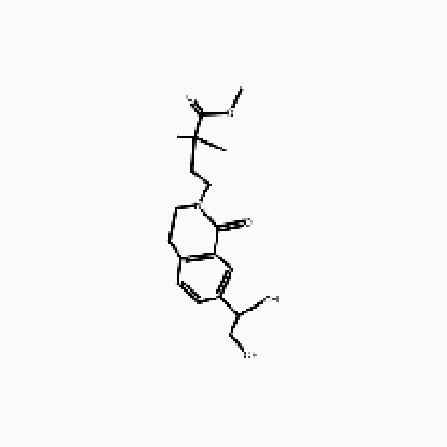 COC(=O)C(C)(C)CCN1CCc2ccc(C(O)CO)cc2C1=O